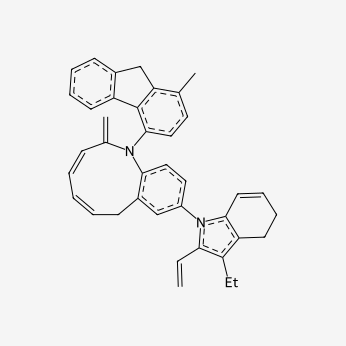 C=Cc1c(CC)c2c(n1-c1ccc3c(c1)C/C=C\C=C/C(=C)N3c1ccc(C)c3c1-c1ccccc1C3)C=CCC2